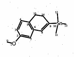 COc1ccc2c(c1)C=[C]([Sn]([CH3])([CH3])[CH3])CC2